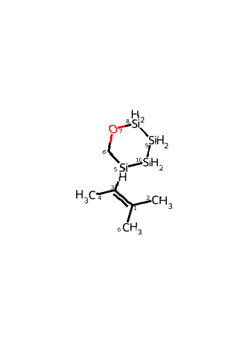 CC(C)=C(C)[SiH]1CO[SiH2][SiH2][SiH2]1